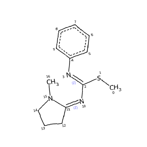 CSC(=N\c1ccccc1)/N=C1/CCCN1C